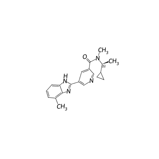 Cc1cccc2[nH]c(-c3cncc(C(=O)N(C)[C@@H](C)C4CC4)c3)nc12